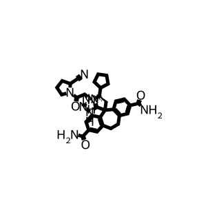 N#CC1CCCN1C(=O)CN[C@H](CC1(c2nnn[nH]2)c2ccc(C(N)=O)cc2CCc2cc(C(N)=O)ccc21)C1CCCC1